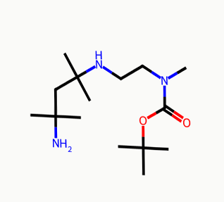 CN(CCNC(C)(C)CC(C)(C)N)C(=O)OC(C)(C)C